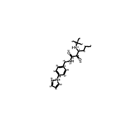 CCCC(NC(C)(C)C)C(=O)C(=O)NCc1ccc(-n2cccn2)cc1